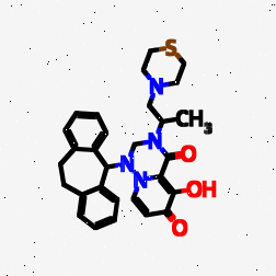 CC(CN1CCSCC1)N1CN(C2c3ccccc3CCc3ccccc32)n2ccc(=O)c(O)c2C1=O